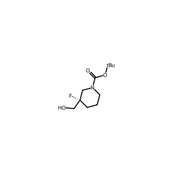 CC(C)(C)OC(=O)N1CCC[C@@](F)(CO)C1